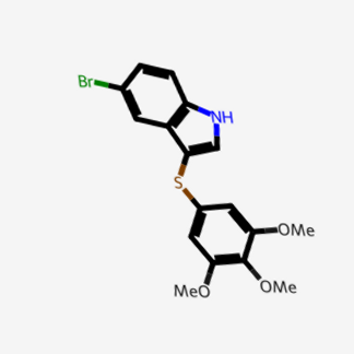 COc1cc(Sc2c[nH]c3ccc(Br)cc23)cc(OC)c1OC